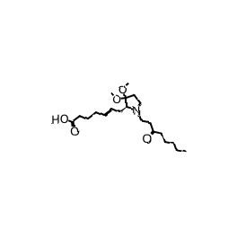 CCCCCC(=O)CCN1CCC(OC)(OC)[C@@H]1CC=CCCCC(=O)O